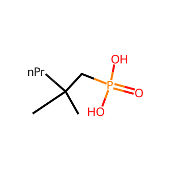 CCCC(C)(C)CP(=O)(O)O